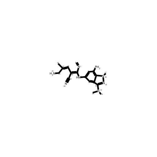 C=N/C(Nc1cc(P)c2c(c1)c(N(C)C)nn2C)=C(C#N)\C=C(\C)CN